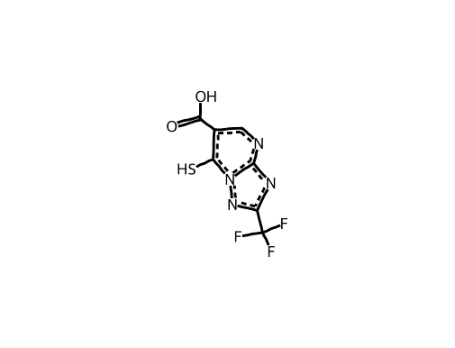 O=C(O)c1cnc2nc(C(F)(F)F)nn2c1S